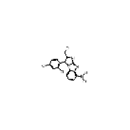 CCN(CC)c1cccc2c1nc1n2C(c2ccc(Cl)cc2Cl)C(CO)N1